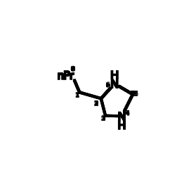 CCCCC1CN[C]N1